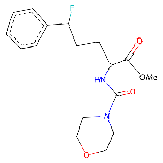 COC(=O)C(CCC(F)c1ccccc1)NC(=O)N1CCOCC1